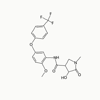 COc1ccc(Oc2ccc(C(F)(F)F)cc2)cc1NC(=O)C1CN(C)C(=O)C1O